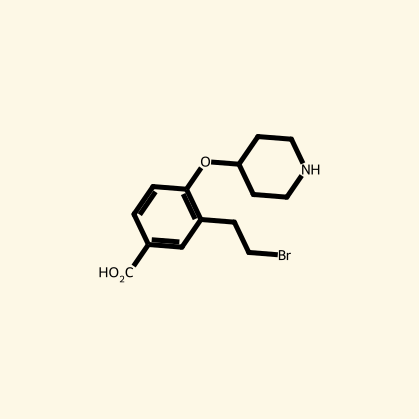 O=C(O)c1ccc(OC2CCNCC2)c(CCBr)c1